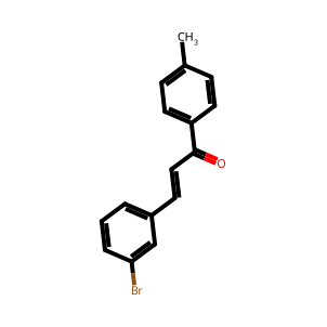 Cc1ccc(C(=O)C=Cc2cccc(Br)c2)cc1